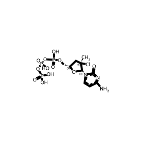 C[C@@]1(Cl)C[C@@H](COP(=O)(O)OP(=O)(O)OP(=O)(O)O)O[C@H]1n1ccc(N)nc1=O